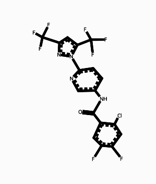 O=C(Nc1ccc(-n2nc(C(F)(F)F)cc2C(F)(F)F)nc1)c1cc(F)c(F)cc1Cl